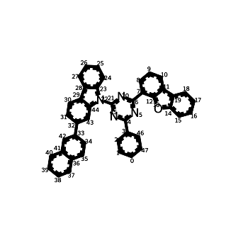 c1ccc(-c2nc(-c3cccc4c3oc3ccccc34)nc(-n3c4ccccc4c4ccc(-c5ccc6ccccc6c5)cc43)n2)cc1